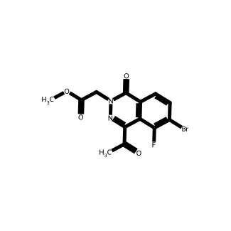 COC(=O)Cn1nc(C(C)=O)c2c(F)c(Br)ccc2c1=O